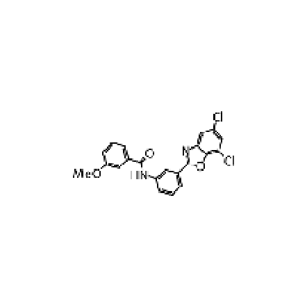 COc1cccc(C(=O)Nc2cccc(-c3nc4cc(Cl)cc(Cl)c4o3)c2)c1